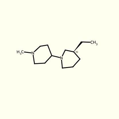 CC[C@H]1CCCN(C2CCN(C)CC2)C1